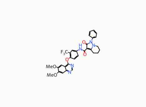 COc1cc2ncnc(Oc3ccc(NC(=O)c4c5n(n(-c6ccccc6)c4=O)CCCC5)cc3C(F)(F)F)c2cc1OC